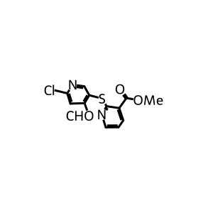 COC(=O)c1cccnc1Sc1cnc(Cl)cc1C=O